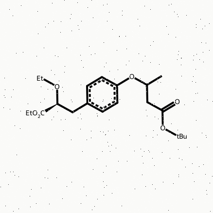 CCOC(=O)[C@H](Cc1ccc(OC(C)CC(=O)OC(C)(C)C)cc1)OCC